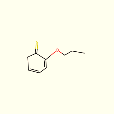 [CH2]CCOC1=CC=CCC1=S